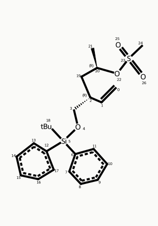 C=C[C@H](CO[Si](c1ccccc1)(c1ccccc1)C(C)(C)C)C[C@@H](C)OS(C)(=O)=O